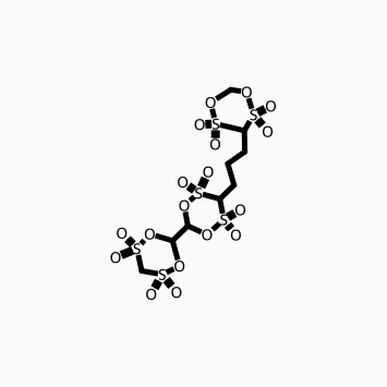 O=S1(=O)CS(=O)(=O)OC(C2OS(=O)(=O)C(CCCC3S(=O)(=O)OCOS3(=O)=O)S(=O)(=O)O2)O1